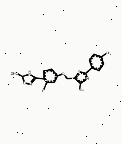 CCCCc1nc(-c2ccc(C(F)(F)F)cc2)sc1COc1ccc(C2=NOC(C=O)N2)c(F)c1